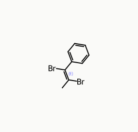 C/C(Br)=C(\Br)c1ccccc1